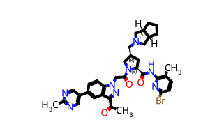 CC(=O)c1nn(CC(=O)N2C[C@@H](CN3C[C@H]4CCC[C@H]4C3)C[C@H]2C(=O)Nc2nc(Br)ccc2C)c2ccc(-c3cnc(C)nc3)cc12